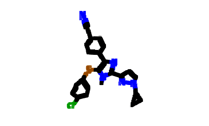 Cn1c(-c2ccn(C3CC3)n2)nc(-c2ccc(C#N)cc2)c1Sc1ccc(Cl)cc1